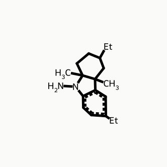 CCc1ccc2c(c1)C1(C)CC(CC)CCC1(C)N2N